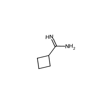 N=C(N)C1CCC1